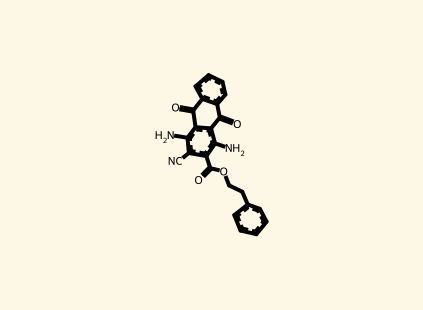 N#Cc1c(N)c2c(c(N)c1C(=O)OCCc1ccccc1)C(=O)c1ccccc1C2=O